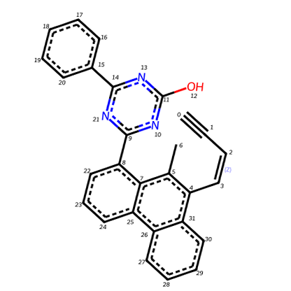 C#C/C=C\c1c(C)c2c(-c3nc(O)nc(-c4ccccc4)n3)cccc2c2ccccc12